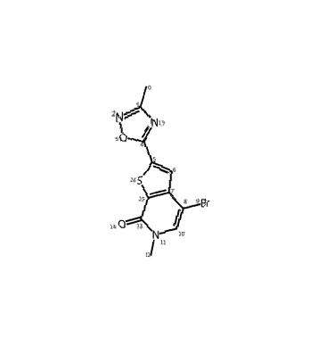 Cc1noc(-c2cc3c(Br)cn(C)c(=O)c3s2)n1